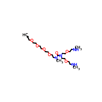 C#CCOCCOCCOCCOCCN(C)C(=O)N(CCOCCNC)CCOCCNC